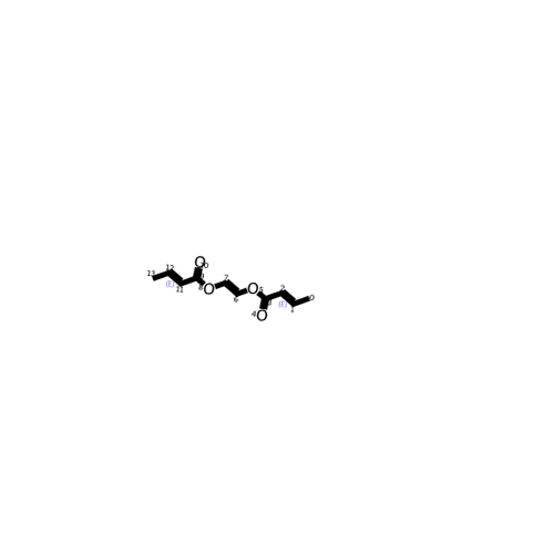 C/C=C/C(=O)OC=COC(=O)/C=C/C